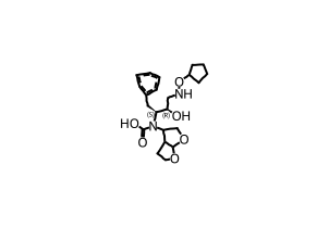 O=C(O)N(C1COC2OCCC21)[C@@H](Cc1ccccc1)[C@H](O)CNOC1CCCC1